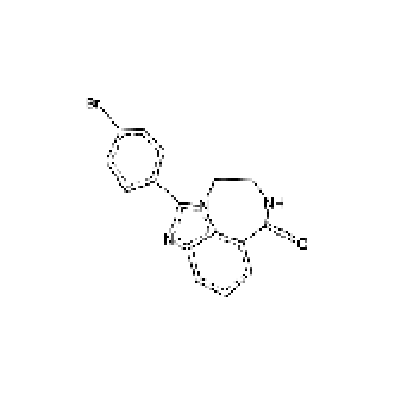 O=C1NCCn2c(-c3ccc(Br)cc3)nc3cccc1c32